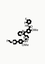 COc1cc(C2CCN(CCF)CC2)ccc1Nc1nccc(-c2c(-c3ccc(OC)c(C(=O)Nc4cccc(F)c4F)c3)nc3ccccn23)n1